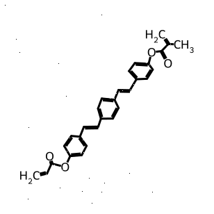 C=CC(=O)Oc1ccc(/C=C/c2ccc(/C=C/c3ccc(OC(=O)C(=C)C)cc3)cc2)cc1